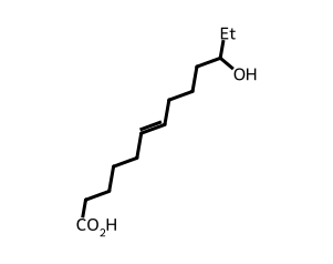 CCC(O)CCCC=CCCCCC(=O)O